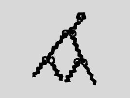 CCCCCCCCOC(CCCCCCCCOC(CCCCN1CCCC1)OCCCCCCCCC(OCCCCCCC)OCCCCCCC)OCCCCCCC